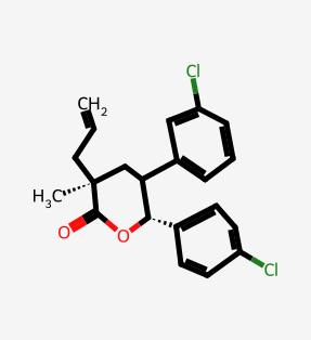 C=CC[C@@]1(C)CC(c2cccc(Cl)c2)[C@H](c2ccc(Cl)cc2)OC1=O